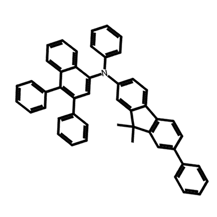 CC1(C)c2cc(-c3ccccc3)ccc2-c2ccc(N(c3ccccc3)c3cc(-c4ccccc4)c(-c4ccccc4)c4ccccc34)cc21